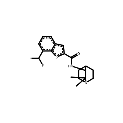 CC1(C)C(NC(=O)c2cc3cccc(C(F)F)c3s2)C2CCN1CC2